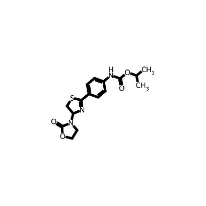 CC(C)OC(=O)Nc1ccc(C2=NC(N3CCOC3=O)CS2)cc1